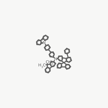 CC1(C)c2ccccc2-c2ccc(N(c3ccc(-c4ccc(-n5c6ccccc6c6ccccc65)cc4)cc3)c3ccc4c(c3)C3(c5ccccc5-c5ccccc53)c3cccc(-c5ccccc5)c3-4)cc21